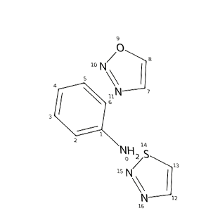 Nc1ccccc1.c1conn1.c1csnn1